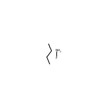 CCCC.NF